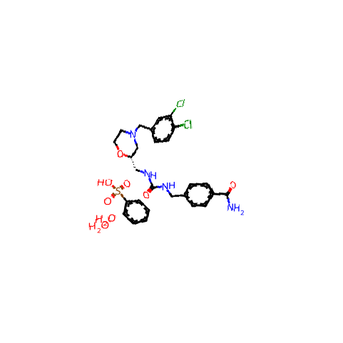 NC(=O)c1ccc(CNC(=O)NC[C@H]2CN(Cc3ccc(Cl)c(Cl)c3)CCO2)cc1.O.O.O=S(=O)(O)c1ccccc1